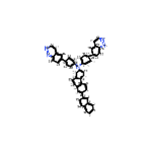 c1ccc2cc(-c3ccc4c(ccc5cc(N(c6ccc(-c7ccc8nnccc8c7)cc6)c6ccc(-c7ccc8nnccc8c7)cc6)ccc54)c3)ccc2c1